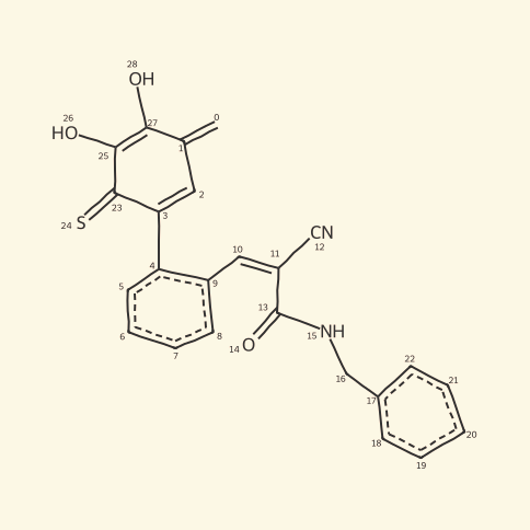 C=C1C=C(c2ccccc2C=C(C#N)C(=O)NCc2ccccc2)C(=S)C(O)=C1O